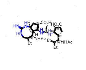 CCC(CC)[C@@H](NC(C)=O)[C@H]1CC[C@H](C(=O)O)[C@H]1NB(C)N[C@H]1[C@H]2[C@H](NC(C)=O)C(CC)CNC(=N)N[C@@H]2C[C@@H]1C(=O)O